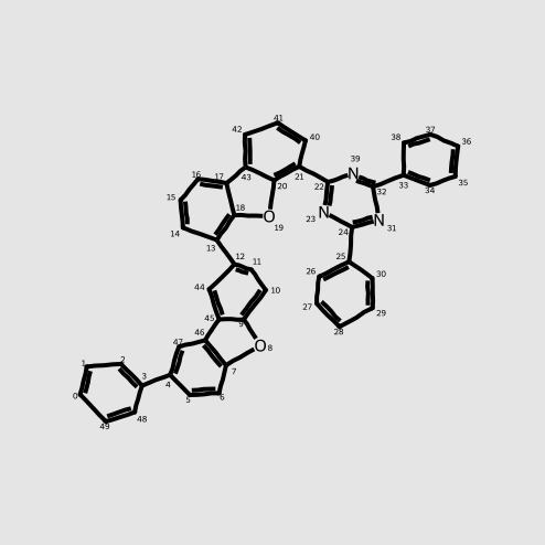 c1ccc(-c2ccc3oc4ccc(-c5cccc6c5oc5c(-c7nc(-c8ccccc8)nc(-c8ccccc8)n7)cccc56)cc4c3c2)cc1